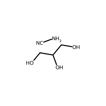 N#CN.OCC(O)CO